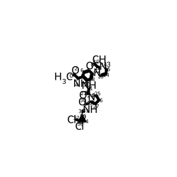 CC(=O)C(=N)c1cc(OC(C)c2ncccn2)ccc1NCC(=O)N1CCC[C@H]1C(=O)NC[C@H]1CC1(Cl)Cl